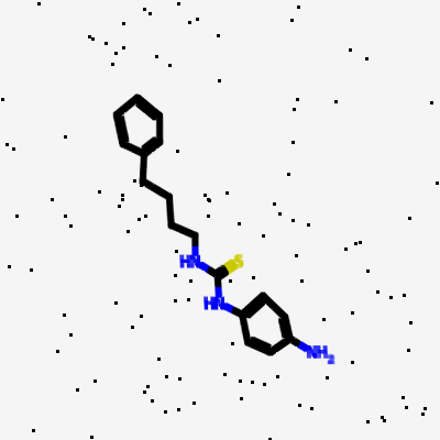 Nc1ccc(NC(=S)NCCCCc2ccccc2)cc1